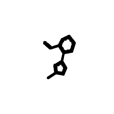 Cc1ccc(-c2ccccc2C=O)s1